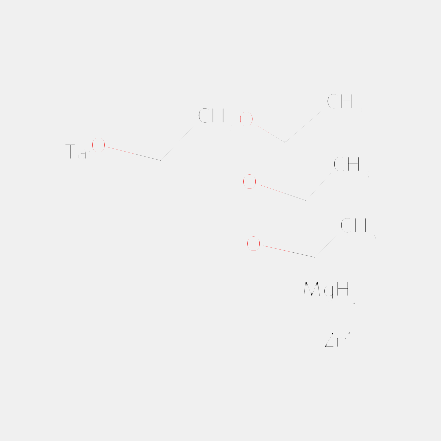 CC[O-].CC[O-].CC[O-].CC[O-].[MgH2].[Ta].[Zr+4]